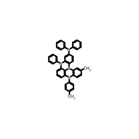 Cc1ccc(N2c3ccc(C)cc3B3c4ccc(N(c5ccccc5)c5ccccc5)cc4N(c4ccccc4)c4cccc2c43)cc1